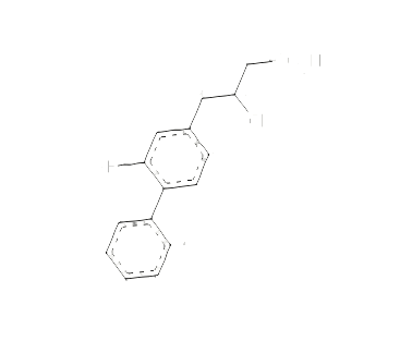 O=C(O)CC(Cl)Cc1ccc(-c2ccccc2)c(F)c1